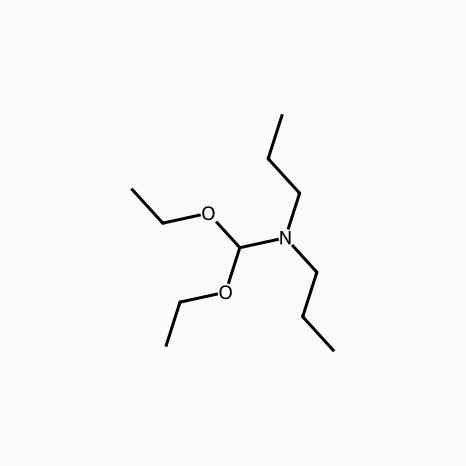 CCCN(CCC)C(OCC)OCC